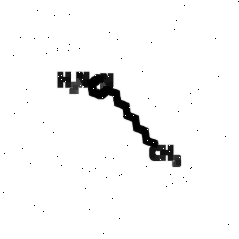 CCCCCCCCCCc1ccc(N)cn1